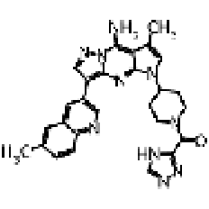 Cc1ccc2ncc(-c3cnn4c(N)c5c(C)cn(C6CCN(C(=O)c7nnc[nH]7)CC6)c5nc34)cc2c1